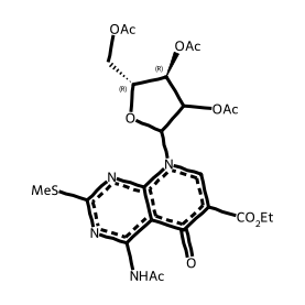 CCOC(=O)c1cn(C2O[C@H](COC(C)=O)[C@@H](OC(C)=O)C2OC(C)=O)c2nc(SC)nc(NC(C)=O)c2c1=O